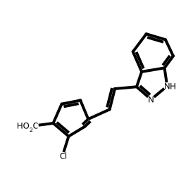 O=C(O)c1ccc(C=Cc2n[nH]c3ccccc23)cc1Cl